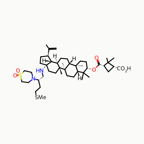 C=C(C)[C@@H]1CC[C@]2(NC[C@H](CCSC)N3CCS(=O)(=O)CC3)CC[C@]3(C)[C@H](CC[C@@H]4[C@@]5(C)CC[C@H](OC(=O)[C@H]6C[C@@H](C(=O)O)C6(C)C)C(C)(C)[C@@H]5CC[C@]43C)[C@@H]12